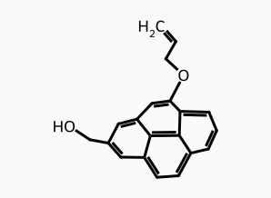 C=CCOc1cc2cc(CO)cc3ccc4cccc1c4c32